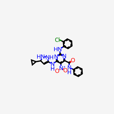 O=C(Nc1ccccc1)c1nc(Nc2ccccc2Cl)nc(NC2=CC(C3CC3)NN2)c1[N+](=O)[O-]